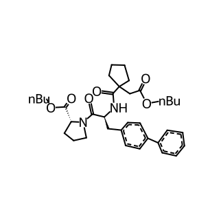 CCCCOC(=O)CC1(C(=O)N[C@@H](Cc2ccc(-c3ccccc3)cc2)C(=O)N2CCC[C@@H]2C(=O)OCCCC)CCCC1